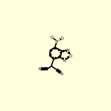 N#CC(C#N)c1ccc([N+](=O)[O-])c2nonc12